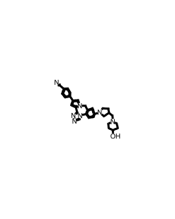 N#Cc1ccc(-c2cc3n(c2)Cc2cc(N4CCC(CN5CCC(O)CC5)C4)ccc2-n2cnnc2-3)cc1